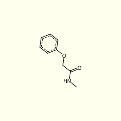 CNC(=O)COc1ccccc1